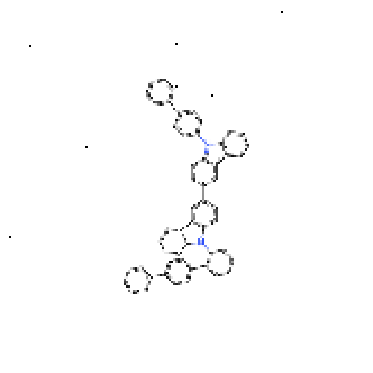 C1=CC2c3cc(-c4ccc5c(c4)c4ccccc4n5-c4ccc(-c5ccccc5)cc4)ccc3N(c3ccccc3-c3ccc(-c4ccccc4)cc3)C2C=C1